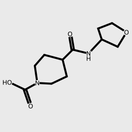 O=C(NC1CCOC1)C1CCN(C(=O)O)CC1